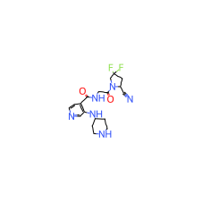 N#CC1CC(F)(F)CN1C(=O)CNC(=O)c1ccncc1NC1CCNCC1